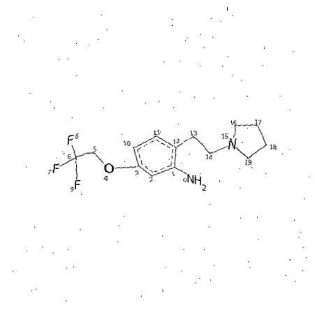 Nc1cc(OCC(F)(F)F)ccc1CCN1CCCC1